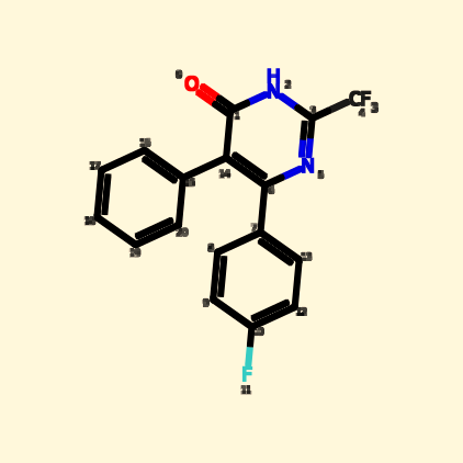 O=c1[nH]c(C(F)(F)F)nc(-c2ccc(F)cc2)c1-c1ccccc1